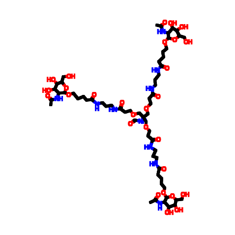 CC(=O)NC1C(OCCCCC(=O)NCCCNC(=O)CCOCC(COCCC(=O)NCCCNC(=O)CCCCOC2OC(CO)C(O)C(O)C2NC(C)=O)(COCCC(=O)NCCCNC(=O)CCCCOC2OC(CO)C(O)C(O)C2NC(C)=O)NC=O)OC(CO)C(O)C1O